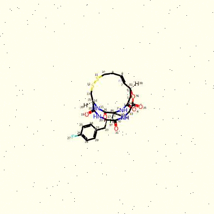 CC(C)[C@H]1NC(=O)C[C@H]2/C=C/CCSSC[C@@H](NC1=O)C(=O)N[C@H](Cc1ccc(F)cc1)C(=O)NCC(=O)O2